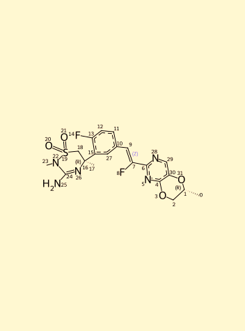 C[C@@H]1COc2nc(/C(F)=C/c3ccc(F)c([C@]4(C)CS(=O)(=O)N(C)C(N)=N4)c3)ncc2O1